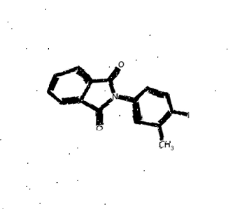 Cc1cc(N2C(=O)c3ccccc3C2=O)ccc1I